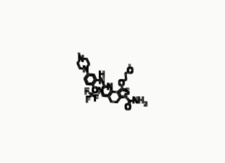 COCCOc1sc(C(N)=O)c2c1-c1nc(Nc3cc(N4CCN(C)CC4)ccc3OC(F)(F)F)ncc1CC2